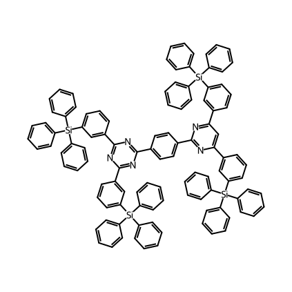 c1ccc([Si](c2ccccc2)(c2ccccc2)c2cccc(-c3cc(-c4cccc([Si](c5ccccc5)(c5ccccc5)c5ccccc5)c4)nc(-c4ccc(-c5nc(-c6cccc([Si](c7ccccc7)(c7ccccc7)c7ccccc7)c6)nc(-c6cccc([Si](c7ccccc7)(c7ccccc7)c7ccccc7)c6)n5)cc4)n3)c2)cc1